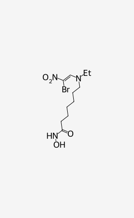 CCN(C=C(Br)[N+](=O)[O-])CCCCCCC(=O)NO